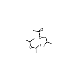 CC(=O)OCC(C)O.CC(C)OC(C)C